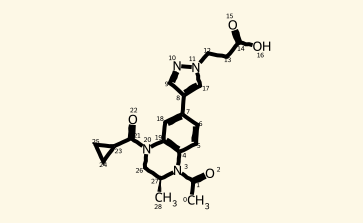 CC(=O)N1c2ccc(-c3cnn(CCC(=O)O)c3)cc2N(C(=O)C2CC2)C[C@@H]1C